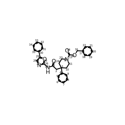 O=C(CC1(c2ccccc2)CCN(C(=O)OCc2ccccc2)CC1)Nc1ncc(-c2ccccc2)o1